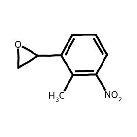 Cc1c(C2CO2)cccc1[N+](=O)[O-]